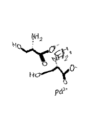 C.N[C@@H](CO)C(=O)[O-].N[C@@H](CO)C(=O)[O-].[Pd+2]